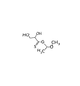 COC(C)OC(=S)C(O)CO